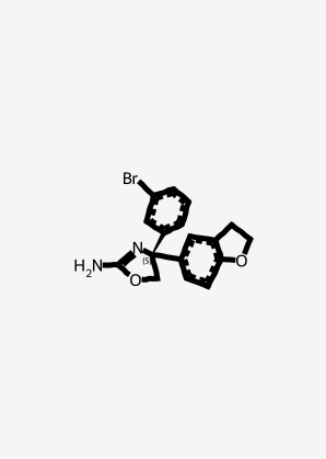 NC1=N[C@](c2cccc(Br)c2)(c2ccc3c(c2)CCO3)CO1